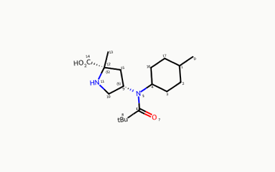 CC1CCC(N(C(=O)C(C)(C)C)[C@@H]2CN[C@](C)(C(=O)O)C2)CC1